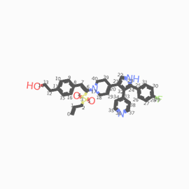 C=CCS(=O)(=O)C(=Cc1ccc(CCO)cc1)N1CC=C(c2c[nH]c(-c3ccc(F)cc3)c2-c2ccncc2)CC1